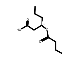 CCCC(=O)O[C@H](CCC)CC(=O)O